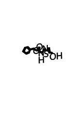 O=C(Nc1ncc(CO)s1)OCc1ccccc1